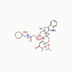 CC(C)O[C@@]12CC[C@]3(C)[C@@]4(C)c5[nH]c6ccccc6c5C[C@@H]4C[C@H](OCC(=O)NCC4(O)CCCCC4)[C@@]3(O)C1=CC(=O)C(C)O2